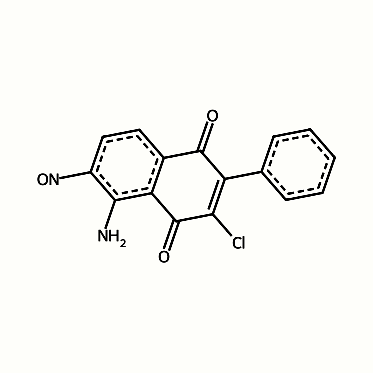 Nc1c(N=O)ccc2c1C(=O)C(Cl)=C(c1ccccc1)C2=O